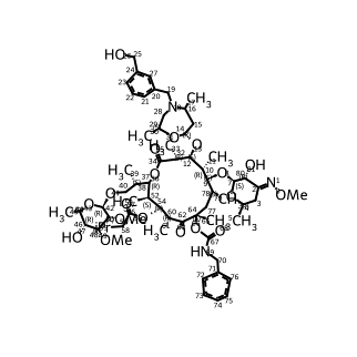 CON=C1C[C@@H](C)O[C@@H](O[C@@H]2[C@@H](C)[C@H](O[C@H]3CC(C)N(Cc4cccc(CO)c4)C[C@H](C)O3)[C@@H](C)C(=O)O[C@H]([C@@H](C)CO[C@@H]3O[C@H](C)[C@@H](O)[C@@H](OC)[C@H]3OC)[C@H](C)[C@@H](OC(=O)CC(C)C)[C@@H](C)C(=O)[C@@](C)(OC(=O)NCc3ccccc3)C[C@@H]2C)[C@@H]1O